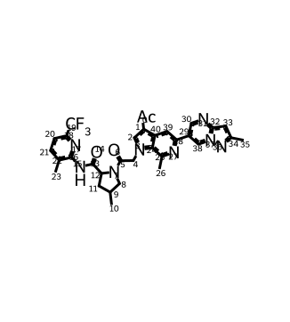 CC(=O)c1cn(CC(=O)N2CC(C)CC2C(=O)Nc2nc(C(F)(F)F)ccc2C)c2c(C)nc(-c3cnc4cc(C)nn4c3)cc12